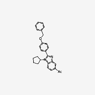 CC(=O)c1ccc2c(c1)nc(-c1ccc(OCc3ccccc3)cc1)n2C1CCCC1